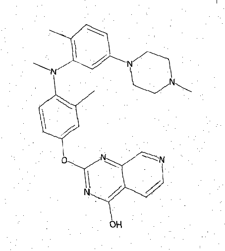 Cc1cc(Oc2nc(O)c3ccncc3n2)ccc1N(C)c1cc(N2CCN(C)CC2)ccc1C